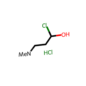 CNCCC(O)Cl.Cl